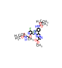 CCOC(=O)c1cnn2cc(-c3ccc(NC(=O)OC(C)(C)C)cc3Cl)c(NCc3cc(F)cnc3O[C@@H](C)CNC(=O)OC(C)(C)C)nc12